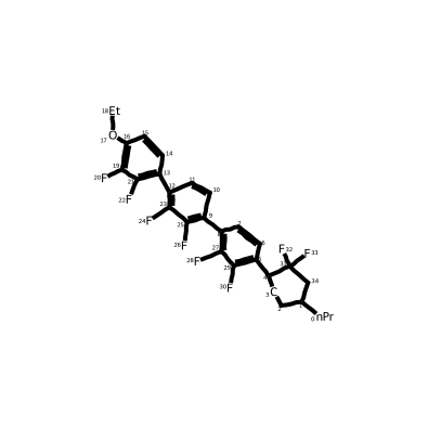 CCCC1CCC(c2ccc(-c3ccc(-c4ccc(OCC)c(F)c4F)c(F)c3F)c(F)c2F)C(F)(F)C1